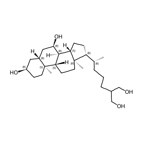 C[C@H](CCCC(CO)CO)[C@H]1CC[C@H]2[C@@H]3[C@H](O)C[C@H]4C[C@H](O)CC[C@]4(C)[C@H]3CC[C@]12C